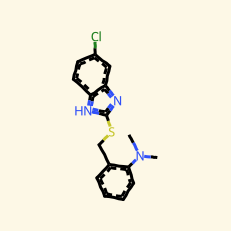 CN(C)c1ccccc1CSc1nc2cc(Cl)ccc2[nH]1